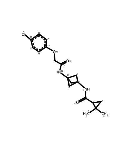 CC1(C)CC1C(=O)NC12CC(NC(=O)COc3ccc(Cl)cc3)(C1)C2